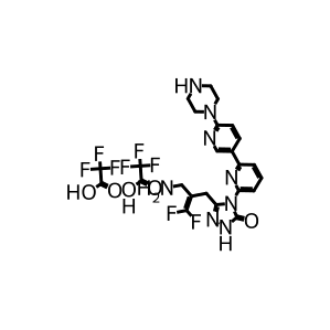 NCC(Cc1n[nH]c(=O)n1-c1cccc(-c2ccc(N3CCNCC3)nc2)n1)=C(F)F.O=C(O)C(F)(F)F.O=C(O)C(F)(F)F